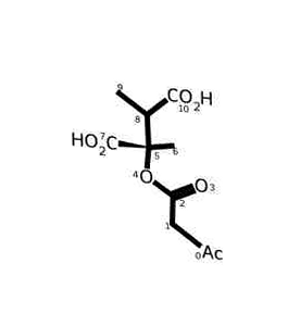 CC(=O)CC(=O)O[C@](C)(C(=O)O)C(C)C(=O)O